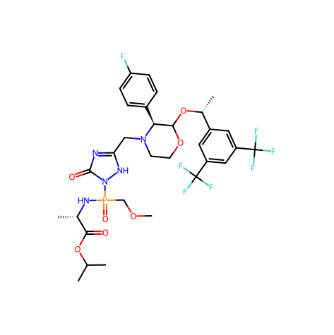 COCP(=O)(N[C@@H](C)C(=O)OC(C)C)n1[nH]c(CN2CCOC(O[C@H](C)c3cc(C(F)(F)F)cc(C(F)(F)F)c3)[C@@H]2c2ccc(F)cc2)nc1=O